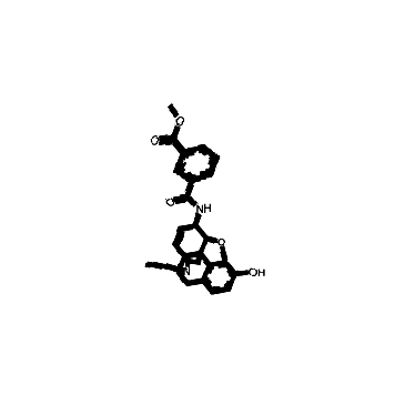 COC(=O)c1cccc(C(=O)NC2C=CC3C4Cc5ccc(O)c6c5C3(CCN4C)C2O6)c1